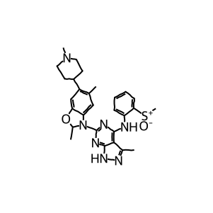 Cc1cc2c(cc1C1CCN(C)CC1)OC(C)N2c1nc(Nc2ccccc2[S+](C)[O-])c2c(C)n[nH]c2n1